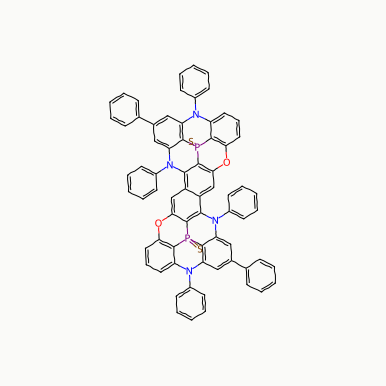 S=P12c3c4cccc3N(c3ccccc3)c3cc(-c5ccccc5)cc(c31)N(c1ccccc1)c1c2c(cc2c3c5c(cc12)Oc1cccc2c1P5(=S)c1c(cc(-c5ccccc5)cc1N3c1ccccc1)N2c1ccccc1)O4